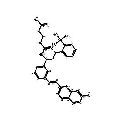 CC(C)(O)c1ccccc1CCC(NC(=O)CCCC(=O)O)c1cccc(/C=C/c2ccc3ccc(Cl)cc3n2)c1